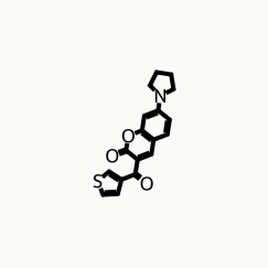 O=C(c1ccsc1)c1cc2ccc(N3CCCC3)cc2oc1=O